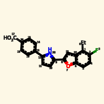 CCc1c(F)ccc2oc(-c3ccc(-c4ccc(C(=O)O)cc4)[nH]3)cc12